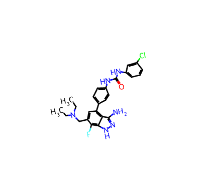 CCN(CC)Cc1cc(-c2ccc(NC(=O)Nc3cccc(Cl)c3)cc2)c2c(N)n[nH]c2c1F